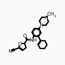 CN1CCN(c2ccc(NC(=O)C3CC=C(C#N)O3)c(C3=CCCCC3)c2)CC1